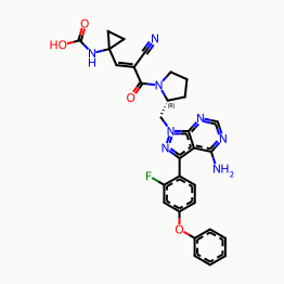 N#CC(=CC1(NC(=O)O)CC1)C(=O)N1CCC[C@@H]1Cn1nc(-c2ccc(Oc3ccccc3)cc2F)c2c(N)ncnc21